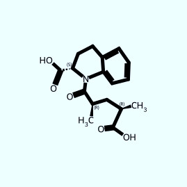 C[C@H](C[C@@H](C)C(=O)N1c2ccccc2CC[C@H]1C(=O)O)C(=O)O